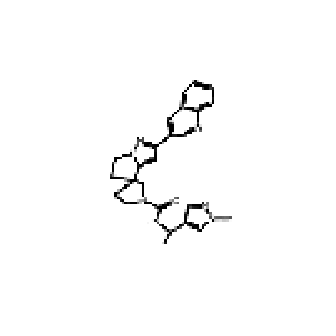 CC(NC(=O)N1CCC2(CCn3nc(-c4cnc5ccccc5c4)cc32)C1)c1cnn(C)c1